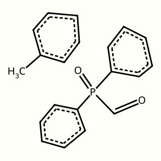 Cc1ccccc1.O=CP(=O)(c1ccccc1)c1ccccc1